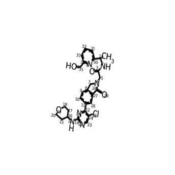 CC(NC(=O)CN1Cc2ccc(-c3nc(NC4CCOCC4)ncc3Cl)cc2C1=O)c1cccc(CO)n1